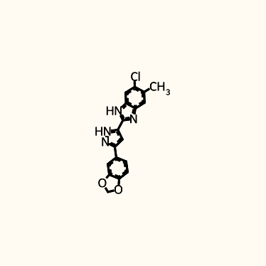 Cc1cc2nc(-c3cc(-c4ccc5c(c4)OCO5)n[nH]3)[nH]c2cc1Cl